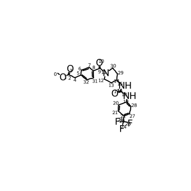 COC(=O)Cc1ccc(C(=O)N2CCC(NC(=O)Nc3ccc(C(F)(F)F)cc3)CC2)cc1